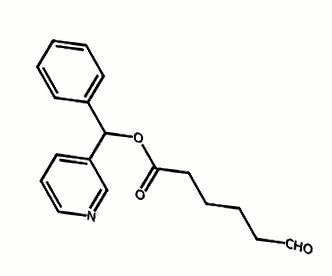 O=CCCCCC(=O)OC(c1ccccc1)c1cccnc1